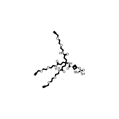 C#CCOCCOCCNC(=O)CCC(CCC(=O)NCCOCCOCC#C)(CCC(=O)NCCOCCOCC#C)NC(=O)[C@]12C[C@@](OP(=O)(S)C(C)(C)C)(C1)C2